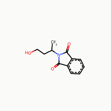 O=C1c2ccccc2C(=O)N1C(CCO)C(F)(F)F